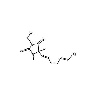 CC(=O)CN1C(=O)N(C)C(C)(/C=C/C=C\C=C\O)C1=O